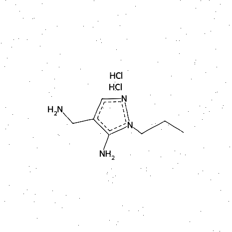 CCCn1ncc(CN)c1N.Cl.Cl